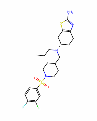 CCCN(CC1CCN(S(=O)(=O)c2ccc(F)c(Cl)c2)CC1)[C@H]1CCc2nc(N)sc2C1